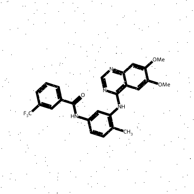 COc1cc2ncnc(Nc3cc(NC(=O)c4cccc(C(F)(F)F)c4)ccc3C)c2cc1OC